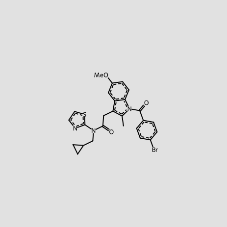 COc1ccc2c(c1)c(CC(=O)N(CC1CC1)c1nccs1)c(C)n2C(=O)c1ccc(Br)cc1